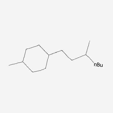 CCCCC(C)CCC1CCC(C)CC1